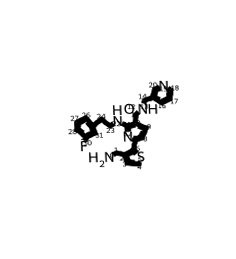 NCc1ccsc1-c1ccc(C(=O)NCc2cccnc2)c(NCCc2cccc(F)c2)n1